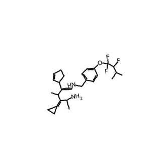 CC(N)C(=C1CC1)C(C)/C(=C/NCc1ccc(OC(F)(F)C(F)C(C)C)cc1)C1C=CCC1